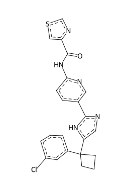 O=C(Nc1ccc(-c2ncc(C3(c4cccc(Cl)c4)CCC3)[nH]2)cn1)c1cscn1